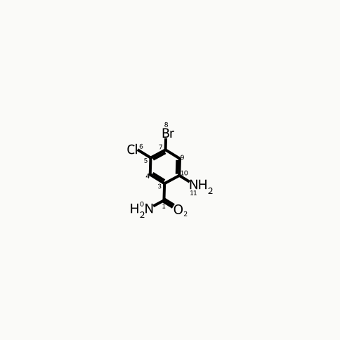 NC(=O)c1cc(Cl)c(Br)cc1N